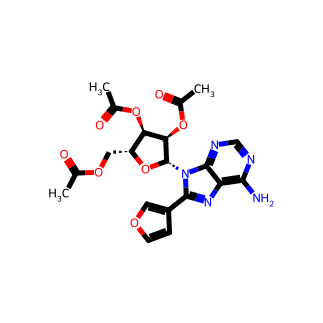 CC(=O)OC[C@H]1O[C@@H](n2c(-c3ccoc3)nc3c(N)ncnc32)[C@H](OC(C)=O)[C@@H]1OC(C)=O